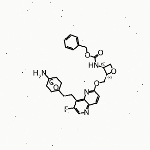 NC12CCC(CCc3c(F)cnc4ccc(OC[C@@H]5OC[C@@H]5NC(=O)OCc5ccccc5)nc34)(CC1)OC2